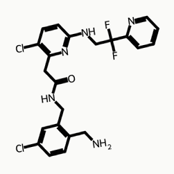 NCc1ccc(Cl)cc1CNC(=O)Cc1nc(NCC(F)(F)c2ccccn2)ccc1Cl